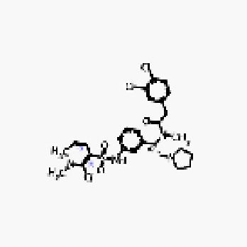 C=N/C(Cl)=C(\C=C/C)S(=O)(=O)Nc1cccc([C@@H](CN2CCCC2)N(C)C(=O)Cc2ccc(Cl)c(Cl)c2)c1